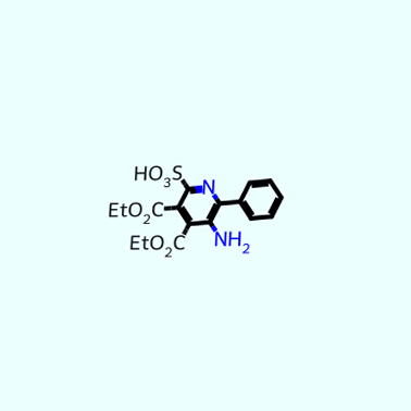 CCOC(=O)c1c(S(=O)(=O)O)nc(-c2ccccc2)c(N)c1C(=O)OCC